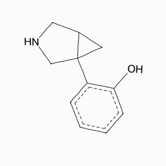 Oc1ccccc1C12CNCC1C2